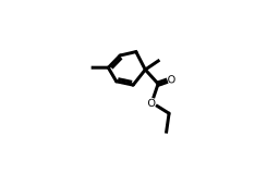 CCOC(=O)C1(C)C=CC(C)=CC1